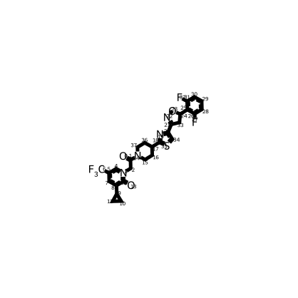 O=C(Cn1cc(C(F)(F)F)cc(C2CC2)c1=O)N1CCC(c2nc(C3=NOC(c4c(F)cccc4F)C3)cs2)CC1